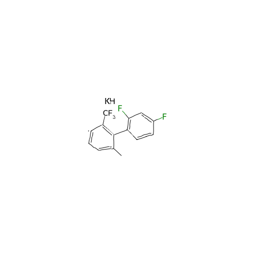 Cc1cc[c]c(C(F)(F)F)c1-c1ccc(F)cc1F.[KH]